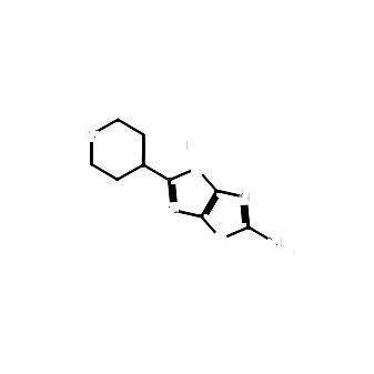 Cl.Nc1nc2sc(C3CCNCC3)nc2s1